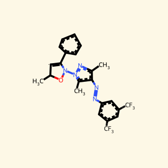 Cc1nn(N2OC(C)[C]=C2c2ccccc2)c(C)c1N=Nc1cc(C(F)(F)F)cc(C(F)(F)F)c1